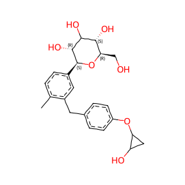 Cc1ccc([C@@H]2O[C@H](CO)[C@@H](O)C(O)[C@H]2O)cc1Cc1ccc(OC2CC2O)cc1